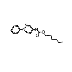 CCCCCCOC(=O)N=c1ccn(-c2ccccc2)nc1